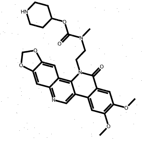 COc1cc2c(=O)n(CCN(C)C(=O)OC3CCNCC3)c3c4cc5c(cc4ncc3c2cc1OC)OCO5